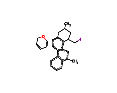 C1=CCOC=C1.Cc1cc2c3c(ccc2c2ccccc12)CC(C)CC3CI